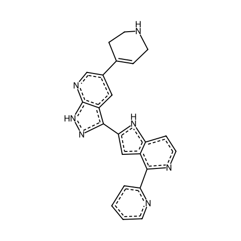 C1=C(c2cnc3[nH]nc(-c4cc5c(-c6ccccn6)nccc5[nH]4)c3c2)CCNC1